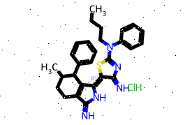 CCCCN(C1=NC(=N)/C(=C2\NC(=N)C3=C2C(c2ccccc2)C(C)CC3)S1)c1ccccc1.Cl